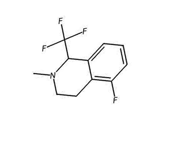 CN1CCc2c(F)cccc2C1C(F)(F)F